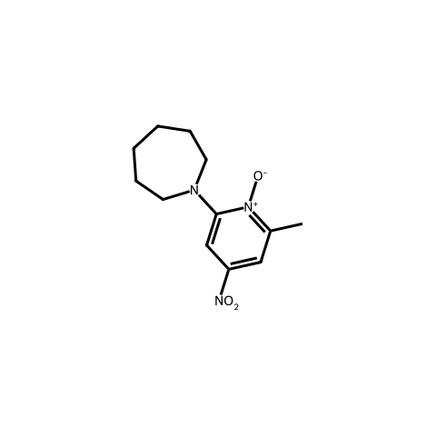 Cc1cc([N+](=O)[O-])cc(N2CCCCCC2)[n+]1[O-]